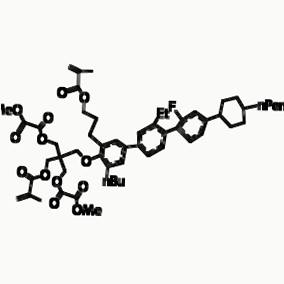 C=C(C)C(=O)OCCCc1cc(-c2ccc(-c3ccc(C4CCC(CCCCC)CC4)cc3F)c(CC)c2)cc(CCCC)c1OCC(COC(=O)C(=C)C)(COC(=O)C(=O)OC)COC(=O)C(=O)OC